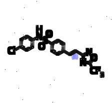 O=S(=O)(Nc1ccc(Cl)cc1)c1ccc(/C=C/c2noc(C(F)(F)F)n2)cc1